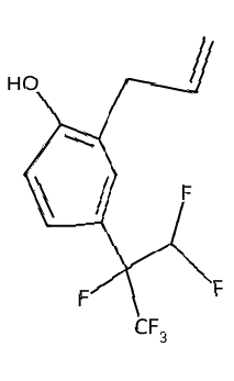 C=CCc1cc(C(F)(C(F)F)C(F)(F)F)ccc1O